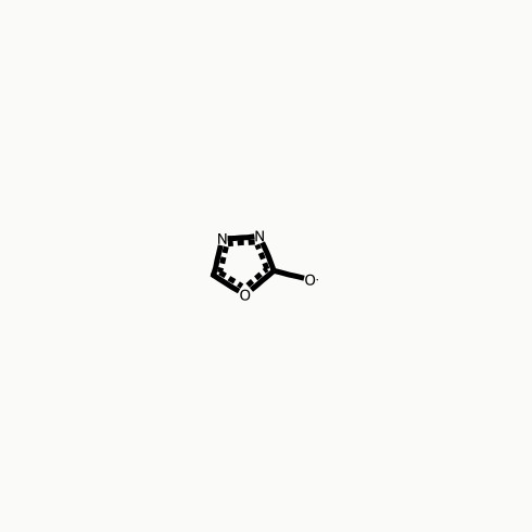 [O]c1nnco1